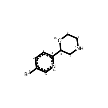 Brc1ccc(C2CNCCO2)nc1